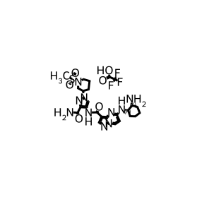 CS(=O)(=O)N1CCCC(n2cc(NC(=O)c3cnn4ccc(N[C@@H]5CCCC[C@@H]5N)nc34)c(C(N)=O)n2)C1.O=C(O)C(F)(F)F